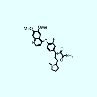 COc1cc2nccc(Oc3ccc(N(CCC4CCCN4C)C(=O)C(N)=O)cc3F)c2cc1OC